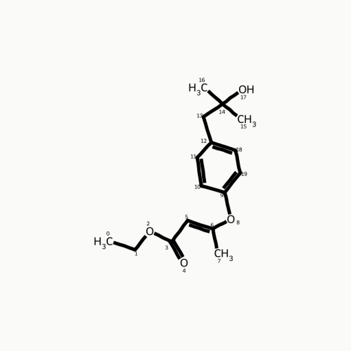 CCOC(=O)C=C(C)Oc1ccc(CC(C)(C)O)cc1